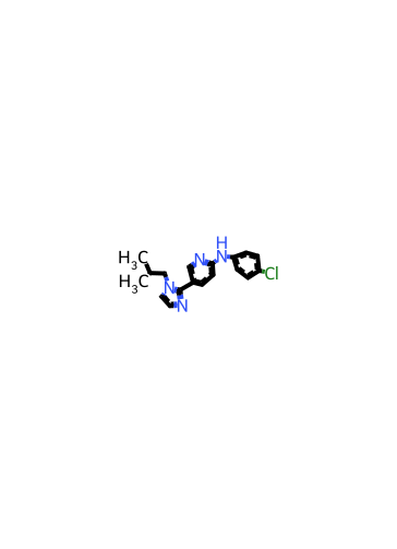 CC(C)Cn1ccnc1-c1ccc(Nc2ccc(Cl)cc2)nc1